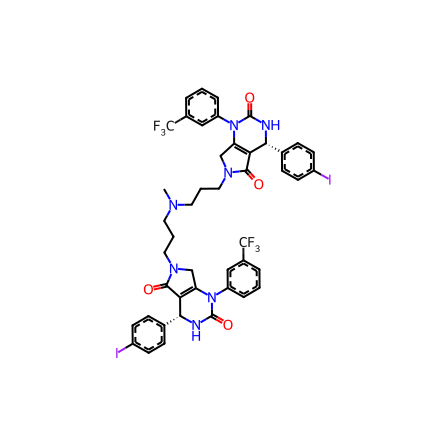 CN(CCCN1CC2=C(C1=O)[C@@H](c1ccc(I)cc1)NC(=O)N2c1cccc(C(F)(F)F)c1)CCCN1CC2=C(C1=O)[C@@H](c1ccc(I)cc1)NC(=O)N2c1cccc(C(F)(F)F)c1